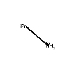 CC(C)CCCCCCCCCCCCCCCCCCCCCCCCCCC(N)=O